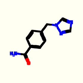 NC(=O)c1ccc(Cn2cncn2)cc1